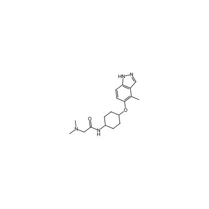 Cc1c(OC2CCC(NC(=O)CN(C)C)CC2)ccc2[nH]ncc12